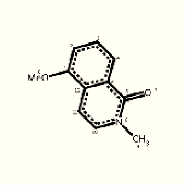 COc1cccc2c(=O)n(C)ccc12